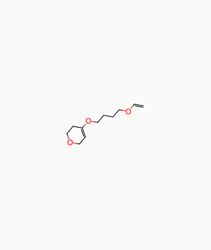 C=COCCCCOC1=CCOCC1